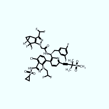 CC(C)(C#Cc1ccc(-c2ccc(Cl)c3c(NS(=O)(=O)C4CC4)nn(CC(F)F)c23)c([C@H](Cc2cc(F)cc(F)c2)NC(=O)Cn2nc(C(F)F)c3c2C(F)(F)[C@@H]2CC32)n1)S(C)(=O)=O